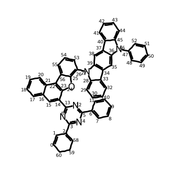 C1=CC(c2nc(-c3ccccc3)nc(-c3cc4ccccc4c4c3oc3c(-n5c6ccccc6c6cc7c(cc65)c5ccccc5n7-c5ccccc5)cccc34)n2)=CCC1